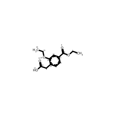 CCOC(=O)c1ccc(CC(=O)O)c(OCC)c1